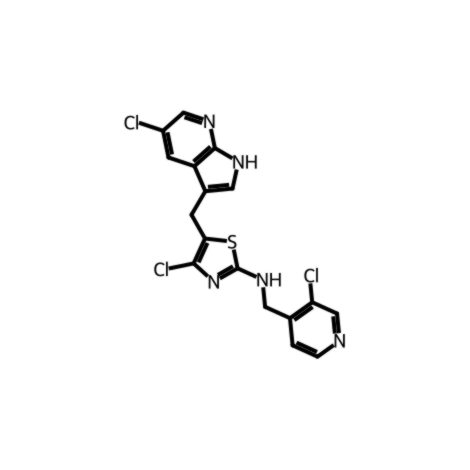 Clc1cnc2[nH]cc(Cc3sc(NCc4ccncc4Cl)nc3Cl)c2c1